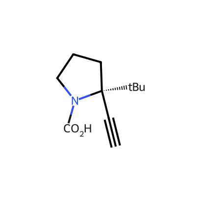 C#C[C@]1(C(C)(C)C)CCCN1C(=O)O